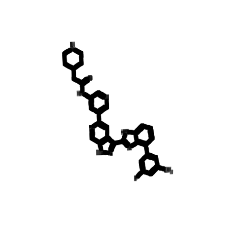 Cc1cc(F)cc(-c2cccc3[nH]c(-c4n[nH]c5cnc(-c6cncc(NC(=O)CC7CCNCC7)c6)cc45)nc23)c1